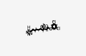 CS(=O)(=O)N(CCCCCCc1nnn[nH]1)CCOc1cc(Cl)cc(Cl)c1